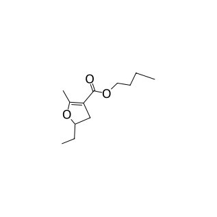 CCCCOC(=O)C1=C(C)OC(CC)C1